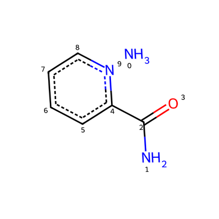 N.NC(=O)c1ccccn1